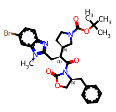 Cn1c(C[C@H](C(=O)N2C(=O)OC[C@@H]2Cc2ccccc2)[C@H]2CCN(C(=O)OC(C)(C)C)C2)nc2ccc(Br)cc21